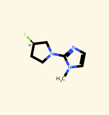 Cn1ccnc1N1CC[C@@H](F)C1